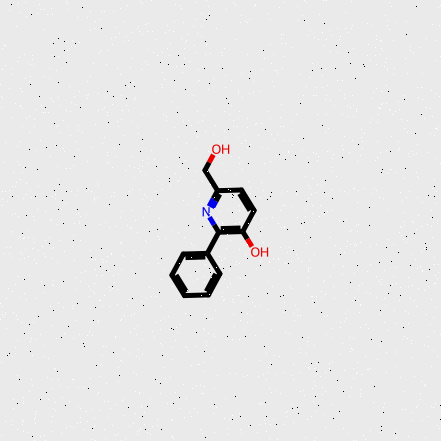 OCc1ccc(O)c(-c2ccccc2)n1